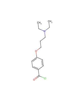 CCN(CC)CCCOc1ccc(C(=O)Cl)cc1